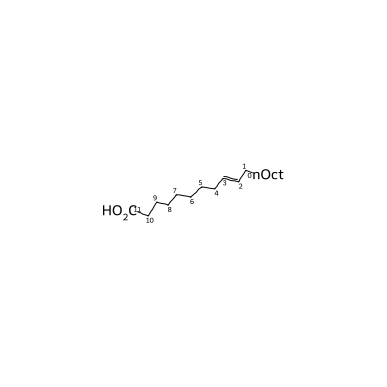 CCCCCCCCC/C=C/CCCCCCCC(=O)O